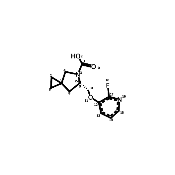 O=C(O)N1CC2(CC2)C[C@H]1COc1cccnc1F